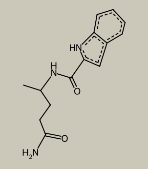 CC(CCC(N)=O)NC(=O)c1cc2ccccc2[nH]1